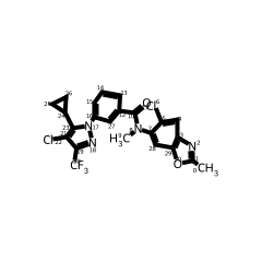 Cc1nc2cc(Cl)c(N(C)C(=O)c3cccc(-n4nc(C(F)(F)F)c(Cl)c4C4CC4)c3)cc2o1